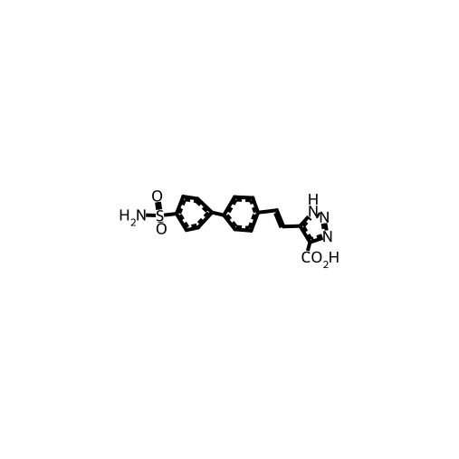 NS(=O)(=O)c1ccc(-c2ccc(/C=C/c3[nH]nnc3C(=O)O)cc2)cc1